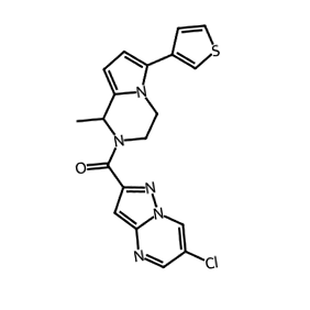 CC1c2ccc(-c3ccsc3)n2CCN1C(=O)c1cc2ncc(Cl)cn2n1